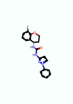 O=C(Nc1ccn(-c2ccccc2)n1)N[C@H]1CCOc2c(F)cccc21